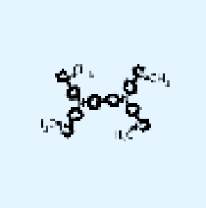 CCp1cccc1-c1ccc(N(c2ccc(-c3ccc(N(c4ccc(-c5cccp5CC)cc4)c4ccc(-c5cccp5CC)cc4)cc3)cc2)c2ccc(-c3cccp3CC)cc2)cc1